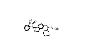 O=C1Nc2ccccc2/C1=C1\OCc2cc(CN(CCO)C3CCCCC3)ccc21